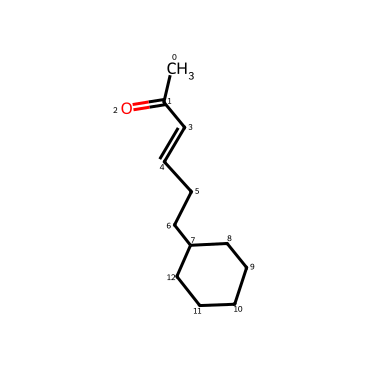 CC(=O)/C=C/CCC1CCCCC1